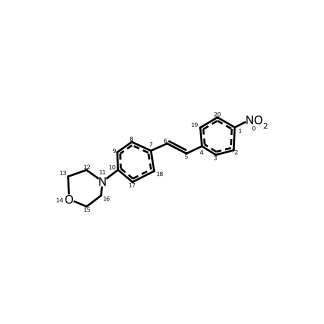 O=[N+]([O-])c1ccc(C=Cc2ccc(N3CCOCC3)cc2)cc1